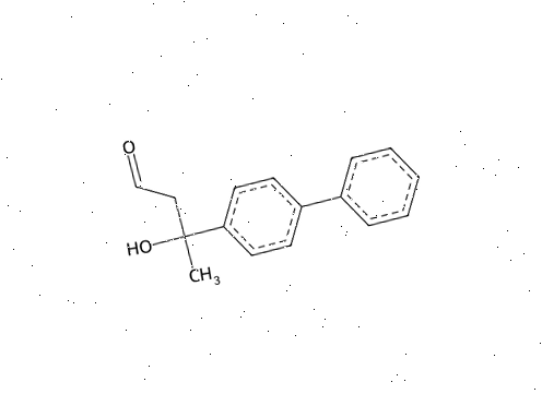 CC(O)(CC=O)c1ccc(-c2ccccc2)cc1